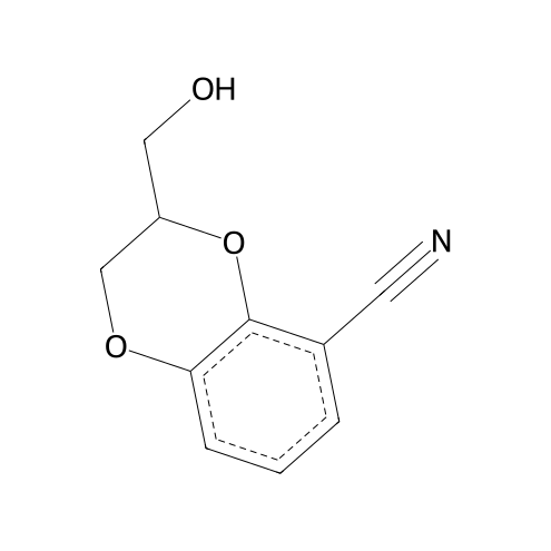 N#Cc1cccc2c1OC(CO)CO2